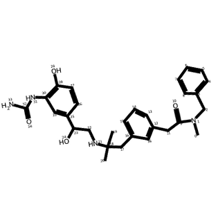 CN(Cc1ccccc1)C(=O)Cc1cccc(CC(C)(C)NCC(O)c2ccc(O)c(NC(N)=O)c2)c1